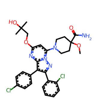 COC1(C(N)=O)CCN(c2cc(OCC(C)(C)O)nc3c(-c4ccc(Cl)cc4)c(-c4ccccc4Cl)nn23)CC1